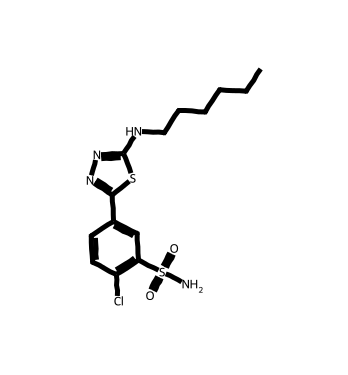 CCCCCCNc1nnc(-c2ccc(Cl)c(S(N)(=O)=O)c2)s1